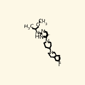 CCC(COC)Nc1nc[c]c(N2CCC(N3CCc4cc(F)ccc4C3)CC2)n1